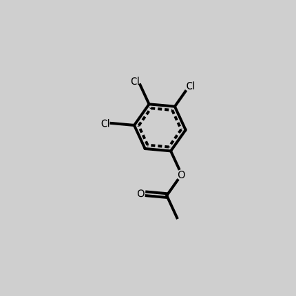 CC(=O)Oc1cc(Cl)c(Cl)c(Cl)c1